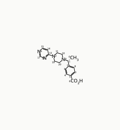 C[C@H](c1ccc(C(=O)O)cc1)N1CCN(c2ccncn2)CC1